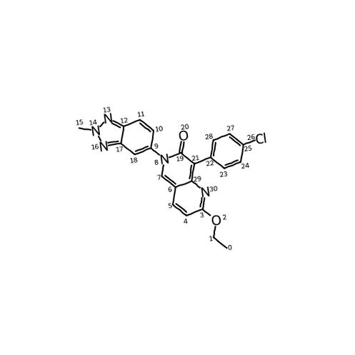 CCOc1ccc2cn(-c3ccc4nn(C)nc4c3)c(=O)c(-c3ccc(Cl)cc3)c2n1